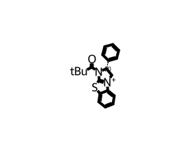 CC(C)(C)C(=O)N1c2sc3ccccc3[n+]2C[C@H]1c1ccccc1